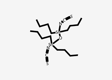 CCC[CH2][Sn]([CH2]CCC)([N]=C=S)[O][Sn]([CH2]CCC)([CH2]CCC)[N]=C=S